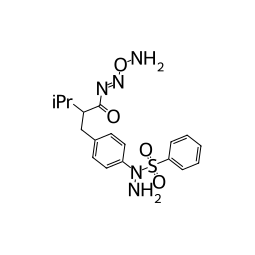 CC(C)C(Cc1ccc(N(N)S(=O)(=O)c2ccccc2)cc1)C(=O)N=NON